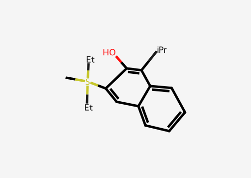 CCS(C)(CC)c1cc2ccccc2c(C(C)C)c1O